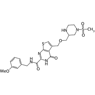 COc1cccc(CNC(=O)c2nc3scc(COCC4CN(S(C)(=O)=O)CCN4)c3c(=O)[nH]2)c1